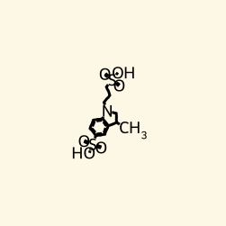 CC1CN(CCCS(=O)(=O)O)c2ccc(S(=O)(=O)O)cc21